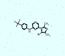 Cc1nc(C)n(-c2cncc(Nc3ccc(C(F)(F)F)cc3)n2)c1Br